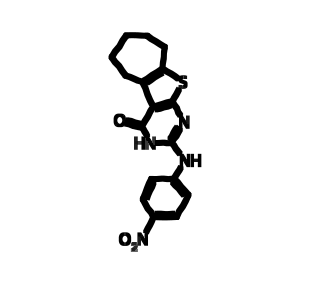 O=c1[nH]c(Nc2ccc([N+](=O)[O-])cc2)nc2sc3c(c12)CCCCC3